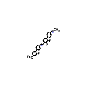 C/C=C/C1=CCC(C2CC=C(/C=C/c3ccc(C4=CCC(OCC)C=C4F)cc3)C(F)=C2F)C=C1